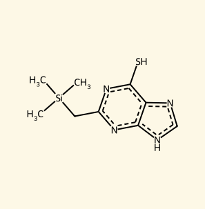 C[Si](C)(C)Cc1nc(S)c2nc[nH]c2n1